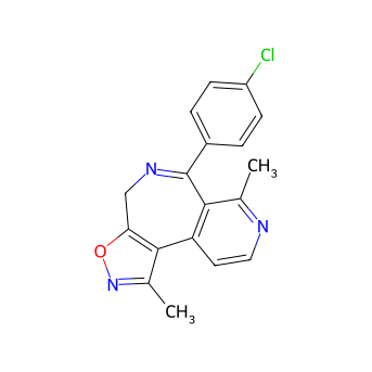 Cc1nccc2c1C(c1ccc(Cl)cc1)=NCc1onc(C)c1-2